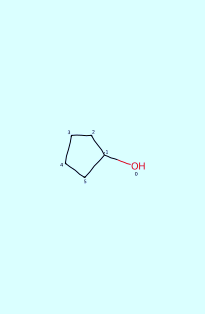 O[C]1CCCC1